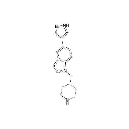 c1cc2c(ccn2CC2CCNCC2)cc1-c1cn[nH]c1